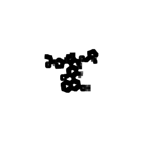 C=CC(=O)N1CCC(n2cnc3c(OCC4CCCN4C)nc4c(F)c(-c5cc(O)cc6ccccc56)c(Cl)cc4c32)C1